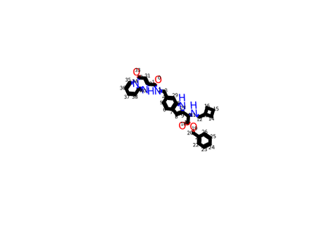 O=C(NCc1ccc2cc(C(NCC3CCC3)C(=O)OCc3ccccc3)[nH]c2c1)c1cc(=O)n2ccccc2n1